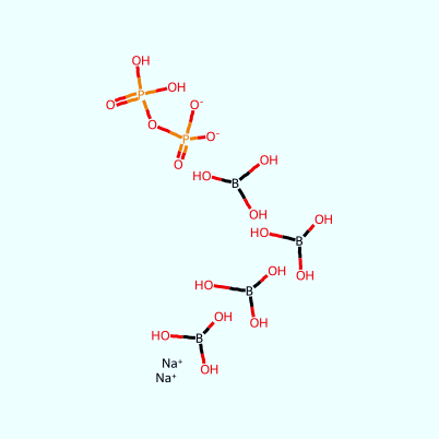 O=P([O-])([O-])OP(=O)(O)O.OB(O)O.OB(O)O.OB(O)O.OB(O)O.[Na+].[Na+]